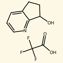 O=C(O)C(F)(F)F.OC1CCc2cccnc21